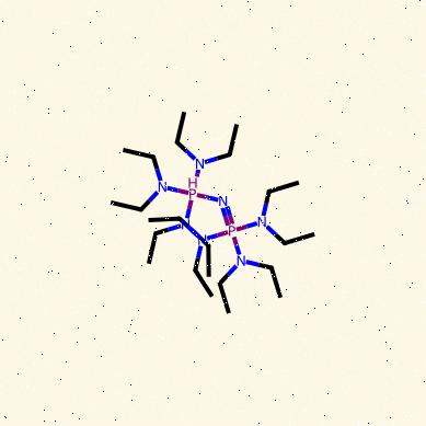 CCN(CC)P(=N[PH](N(CC)CC)(N(CC)CC)N(CC)CC)(N(CC)CC)N(CC)CC